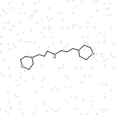 C(CNCCCN1CCOCC1)CN1CCOCC1